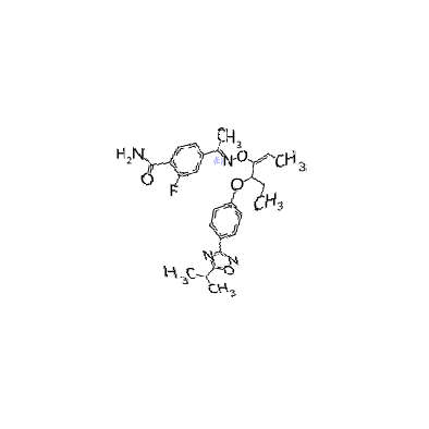 CC=C(O/N=C(\C)c1ccc(C(N)=O)c(F)c1)C(CC)Oc1ccc(-c2noc(C(C)C)n2)cc1